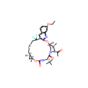 CCOc1ccc2cc3c(nc2c1)O[C@H]1CN(C(=O)[C@H](C(C)(C)C)NC(=O)O[C@]2(C)C[C@H]2CCCCC3(F)F)[C@H](C(C)=O)[C@@H]1C